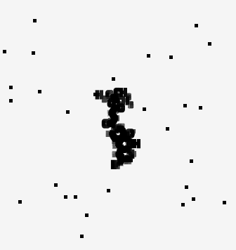 CC(C)(C)OC(=O)CCC(=O)N1CCC2(CC1)Cc1cc(Br)cnc1NC2=O